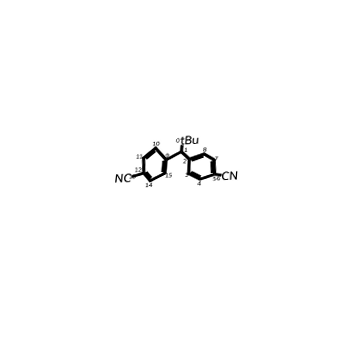 CC(C)(C)C(c1ccc(C#N)cc1)c1ccc(C#N)cc1